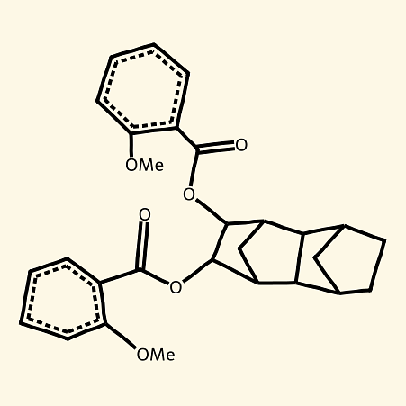 COc1ccccc1C(=O)OC1C2CC(C1OC(=O)c1ccccc1OC)C1C3CCC(C3)C21